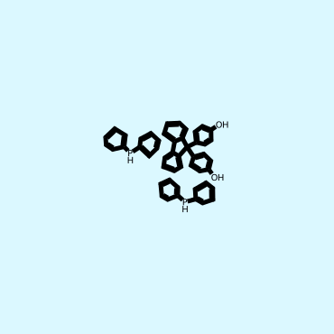 Oc1ccc(C2(c3ccc(O)cc3)c3ccccc3-c3ccccc32)cc1.c1ccc(Pc2ccccc2)cc1.c1ccc(Pc2ccccc2)cc1